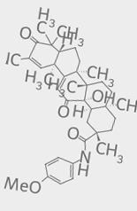 COc1ccc(NC(=O)[C@@]2(C)CC[C@]3(C)CC[C@@]4(C)[C@]5(C)CC[C@H]6C(C)(C)C(=O)C(C#N)=C[C@]6(C)C5=CC(=O)[C@]4(O)[C@@H]3C2)cc1